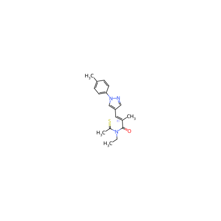 CCN(C(=O)/C(C)=C/c1cnn(-c2ccc(C)cc2)c1)C(C)=S